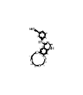 C#Cc1cccc(NC2=NCNc3cc4c(cc32)OCCOCCOCCO4)c1